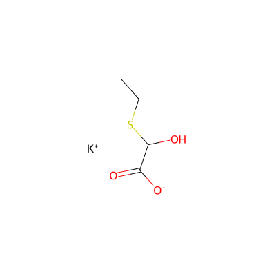 CCSC(O)C(=O)[O-].[K+]